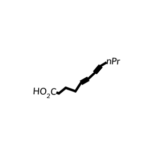 CCCC#CC#CCCCC(=O)O